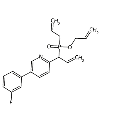 C=CCOP(=O)(CC=C)C(C=C)c1ccc(-c2cccc(F)c2)cn1